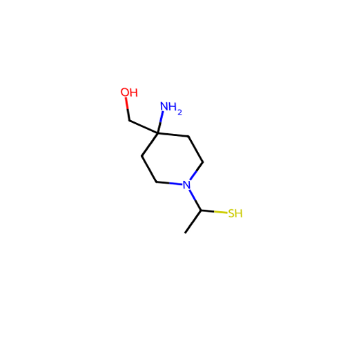 CC(S)N1CCC(N)(CO)CC1